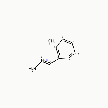 C.N/N=C/c1cccnc1